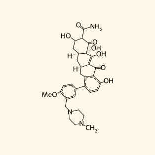 COc1ccc(-c2ccc(O)c3c2C[C@H]2C[C@H]4CC(O)C(C(N)=O)C(=O)[C@@]4(O)C(O)=C2C3=O)cc1CN1CCN(C)CC1